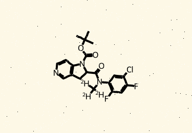 [2H]C([2H])([2H])N(C(=O)C1Cc2cnccc2N1C(=O)OC(C)(C)C)c1cc(Cl)c(F)cc1F